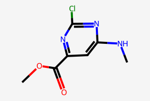 CNc1cc(C(=O)OC)nc(Cl)n1